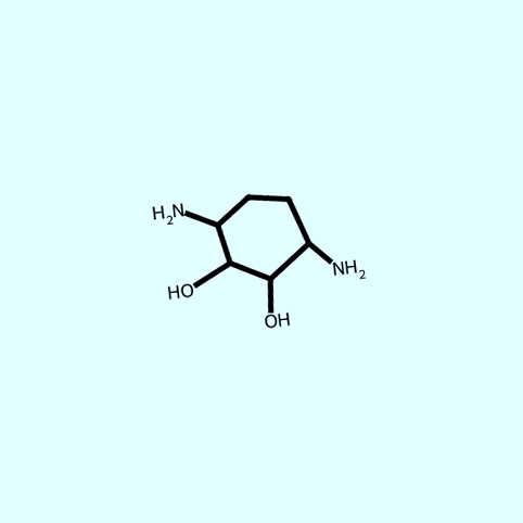 NC1CCC(N)C(O)C1O